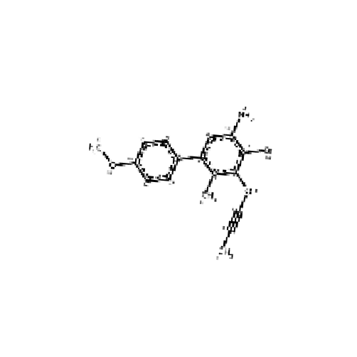 CC#COc1c(C)c(-c2ccc(OC(F)(F)F)cc2)cc(N)c1Br